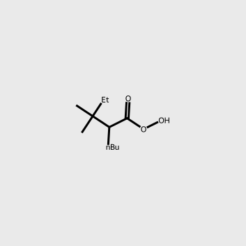 CCCCC(C(=O)OO)C(C)(C)CC